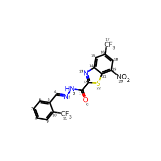 O=C(NN=Cc1ccccc1C(F)(F)F)c1nc2cc(C(F)(F)F)cc([N+](=O)[O-])c2s1